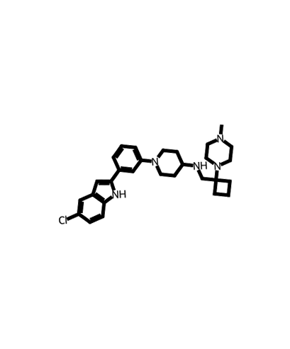 CN1CCN(C2(CNC3CCN(c4cccc(-c5cc6cc(Cl)ccc6[nH]5)c4)CC3)CCC2)CC1